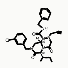 C#CCN1CC(=O)N2[C@@H](C(C)CC)C(=O)N(Cc3cccc(Cl)c3)C[C@@H]2N1C(=O)NCc1ccccc1